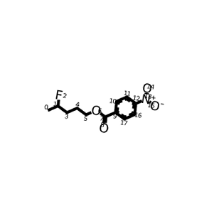 CC(F)CCCOC(=O)c1ccc([N+](=O)[O-])cc1